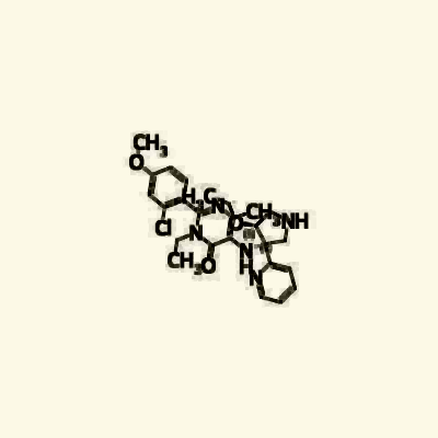 CCO[C@H]1CNC[C@@]1(Nc1c(C)nc(-c2ccc(OC)cc2Cl)n(CC)c1=O)c1ccccn1